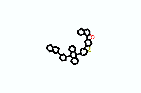 c1cc(-c2ccc3ccccc3c2)cc(-c2c3ccccc3c(-c3ccc4sc5cc6oc7ccc8ccccc8c7c6cc5c4c3)c3ccccc23)c1